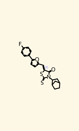 O=C1/C(=C/c2ccc(-c3ccc(F)cc3)o2)SC(=S)N1C1CC2CCC1C2